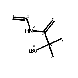 C=CNC(=C)C(C)(C)C(C)(C)C